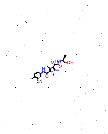 C#CC(CO)NC(=O)C(=O)c1c(C)c(C(=O)Nc2ccc(C)c(C#N)c2)n(C)c1C